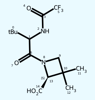 CC(C)(C)C(NC(=O)C(F)(F)F)C(=O)N1CC(C)(C)[C@H]1C(=O)O